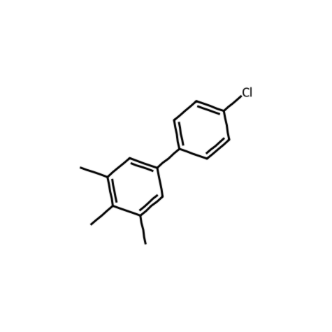 Cc1cc(-c2ccc(Cl)cc2)cc(C)c1C